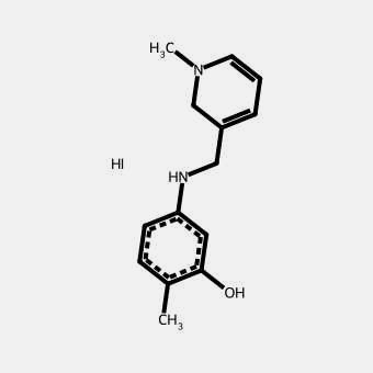 Cc1ccc(NCC2=CC=CN(C)C2)cc1O.I